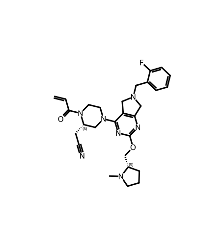 C=CC(=O)N1CCN(c2nc(OC[C@@H]3CCCN3C)nc3c2CN(Cc2ccccc2F)C3)C[C@@H]1CC#N